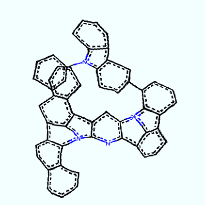 c1ccc(-n2c3ccccc3c3cc(-c4cccc5c6cccc7c8nc9c(cc8n(c45)c67)c4c5ccccc5cc5c6ccc7ccccc7c6n9c54)ccc32)cc1